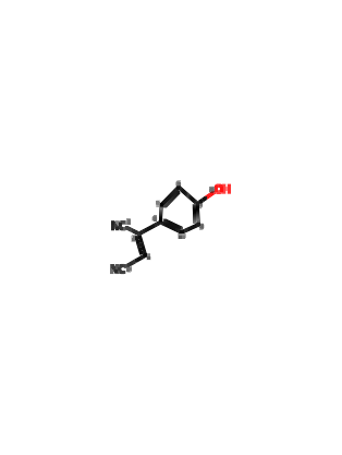 N#CC=C(C#N)c1ccc(O)cc1